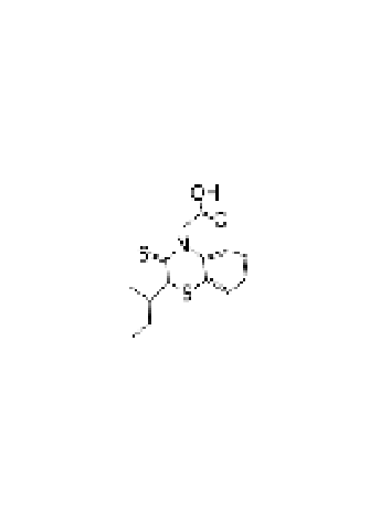 CCC(C)C1Sc2ccccc2N(CC(=O)O)C1=S